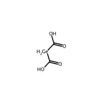 O=[C](O)[GeH2][C](=O)O